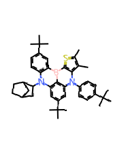 Cc1sc2c(c1C)N(c1ccc(C(C)(C)C)cc1)c1cc(C(C)(C)C)cc3c1B2c1cc(C(C)(C)C)ccc1N3C1CC2CCC1C2